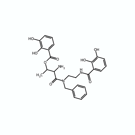 CC(OC(=O)c1cccc(O)c1O)C(N)C(=O)N(CCNC(=O)c1cccc(O)c1O)Cc1ccccc1